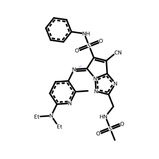 CCN(CC)c1ccc(/N=C2/C(S(=O)(=O)Nc3ccccc3)=C(C#N)c3nc(CNS(C)(=O)=O)nn32)c(C)n1